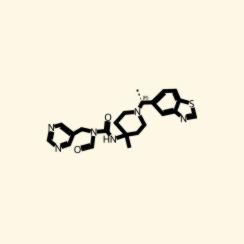 C[C@H](c1ccc2scnc2c1)N1CCC(C)(NC(=O)N(C=O)Cc2cncnc2)CC1